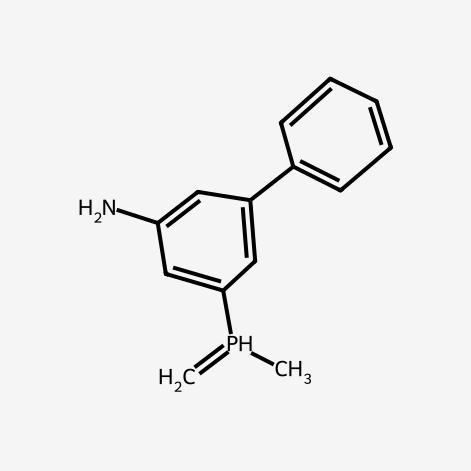 C=[PH](C)c1cc(N)cc(-c2ccccc2)c1